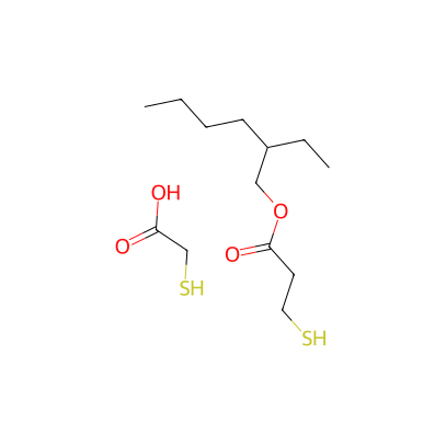 CCCCC(CC)COC(=O)CCS.O=C(O)CS